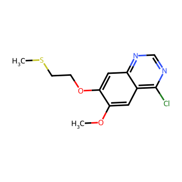 COc1cc2c(Cl)ncnc2cc1OCCSC